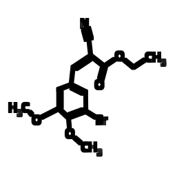 CCOC(=O)C(C#N)=Cc1cc(Br)c(OC)c(OC)c1